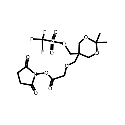 CC1(C)OCC(COCC(=O)ON2C(=O)CCC2=O)(COS(=O)(=O)C(F)(F)F)CO1